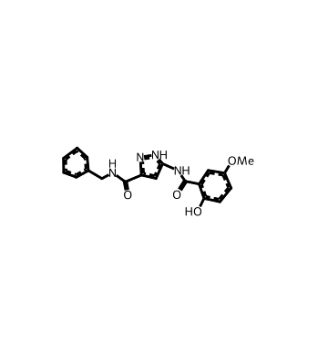 COc1ccc(O)c(C(=O)Nc2cc(C(=O)NCc3ccccc3)n[nH]2)c1